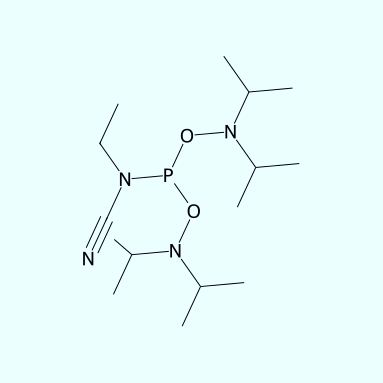 CCN(C#N)P(ON(C(C)C)C(C)C)ON(C(C)C)C(C)C